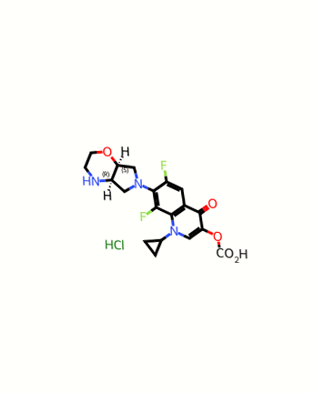 Cl.O=C(O)Oc1cn(C2CC2)c2c(F)c(N3C[C@@H]4OCCN[C@@H]4C3)c(F)cc2c1=O